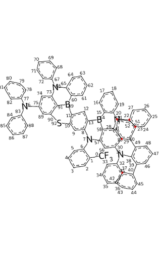 FC(F)(F)c1ccccc1N1c2cc3c(cc2B2c4ccccc4N(c4ccccc4)c4cc(N(c5ccccc5)c5c(-c6ccccc6)cccc5-c5ccccc5)cc1c42)B1c2ccccc2N(c2ccccc2)c2cc(N(c4ccccc4)c4ccccc4)cc(c21)S3